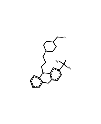 NCC1CCN(CCCN2c3ccccc3Sc3ccc(C(F)(P)P)cc32)CC1